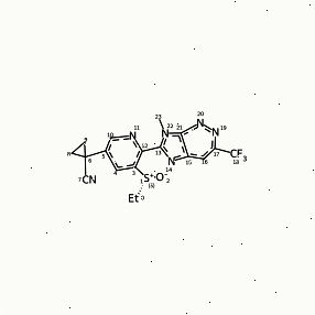 CC[S@@+]([O-])c1cc(C2(C#N)CC2)cnc1-c1nc2cc(C(F)(F)F)nnc2n1C